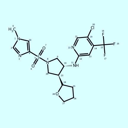 Cn1cnc(S(=O)(=O)N2C[C@H](Nc3cc(C(F)(F)F)c(Cl)cn3)[C@@H](C3CCCO3)C2)c1